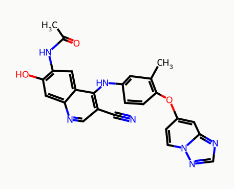 CC(=O)Nc1cc2c(Nc3ccc(Oc4ccn5ncnc5c4)c(C)c3)c(C#N)cnc2cc1O